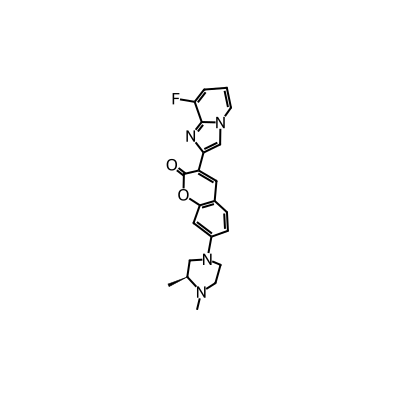 C[C@H]1CN(c2ccc3cc(-c4cn5cccc(F)c5n4)c(=O)oc3c2)CCN1C